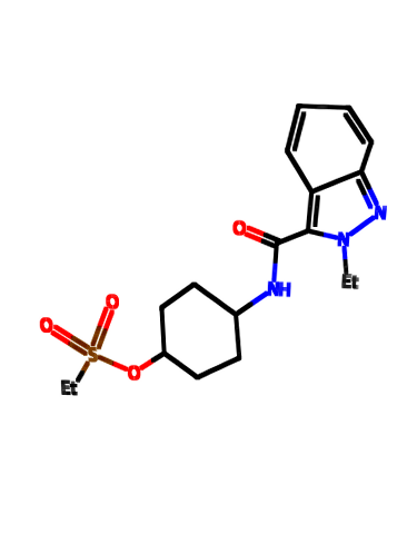 CCn1nc2ccccc2c1C(=O)NC1CCC(OS(=O)(=O)CC)CC1